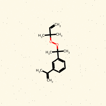 C=CC(C)(C)OOC(C)(C)c1cccc(C(=C)C)c1